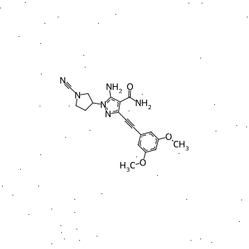 COc1cc(C#Cc2nn(C3CCN(C#N)C3)c(N)c2C(N)=O)cc(OC)c1